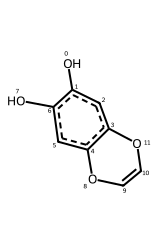 Oc1cc2c(cc1O)OC=CO2